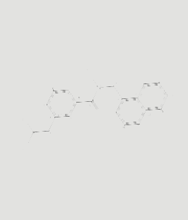 CC(C)Cc1cccc(C(=O)N(C)Cc2cccc3ccccc23)c1